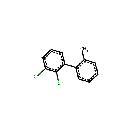 Cc1ccccc1-c1cc[c]c(Cl)c1Cl